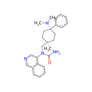 CN(C)[C@]1(c2ccccc2)CC[C@@](C)(CN(C(N)=O)c2cncc3ccccc23)CC1